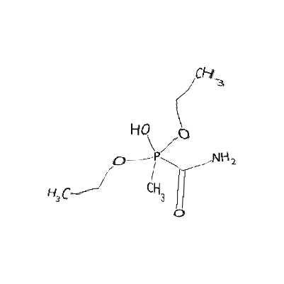 CCOP(C)(O)(OCC)C(N)=O